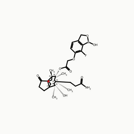 C[C@@H]1CC[C@@]23CCC(=O)C2[C@]1(C)[C@H](OC(=O)COc1ccc2c(c1F)B(O)OC2)C[C@@](C)(CCC(N)=O)[C@@H](O)[C@@H]3C